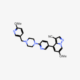 COc1cc(-c2ccc(N3CCN(Cc4ccc(OC)nc4)CC3)nc2)c2c(C#N)cnn2c1